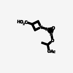 CC(=O)OC(C)On1on1N1CC(C(=O)O)C1